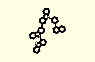 c1cc(-c2cccc3ccccc23)cc(-n2c3ccccc3c3ccc(-c4ccc5c(c4)c4ccccc4n5-c4cccc5c4oc4ccccc45)cc32)c1